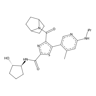 Cc1cc(NC(C)C)ncc1-c1sc(C(=O)N[C@H]2CCC[C@@H]2O)nc1C(=O)N1C2CCC1CC2